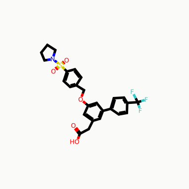 O=C(O)Cc1cc(OCc2ccc(S(=O)(=O)N3CCCC3)cc2)cc(-c2ccc(C(F)(F)F)cc2)c1